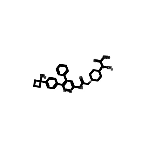 COC(=O)N(C)[C@H]1CC[C@H](CC(=O)Nc2cc(-c3ccccc3)c(-c3ccc(C4(N)CCC4)cc3)nn2)CC1